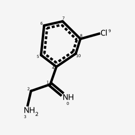 N=C(CN)c1cccc(Cl)c1